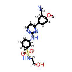 COc1ccc(-c2ccnc(Nc3cccc(S(=O)(=O)NCCO)c3)n2)cc1C#N